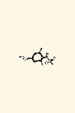 Cc1cc(S(=O)(=O)O)cc(C)c1NS(C)(=O)=O